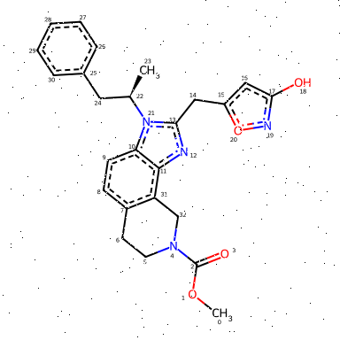 COC(=O)N1CCc2ccc3c(nc(Cc4cc(O)no4)n3[C@H](C)Cc3ccccc3)c2C1